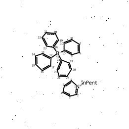 CCCCC[n+]1ccccc1.c1ccc([B-](c2ccccc2)(c2ccccc2)c2ccccc2)cc1